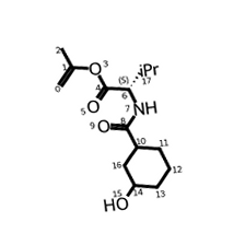 C=C(C)OC(=O)[C@@H](NC(=O)C1CCCC(O)C1)C(C)C